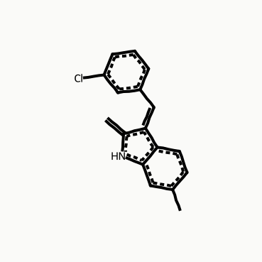 C=c1[nH]c2cc(C)ccc2c1=Cc1cccc(Cl)c1